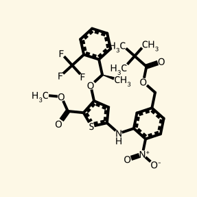 COC(=O)c1sc(Nc2cc(COC(=O)C(C)(C)C)ccc2[N+](=O)[O-])cc1O[C@H](C)c1ccccc1C(F)(F)F